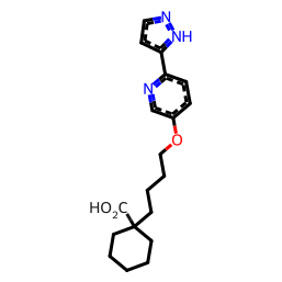 O=C(O)C1(CCCCOc2ccc(-c3ccn[nH]3)nc2)CCCCC1